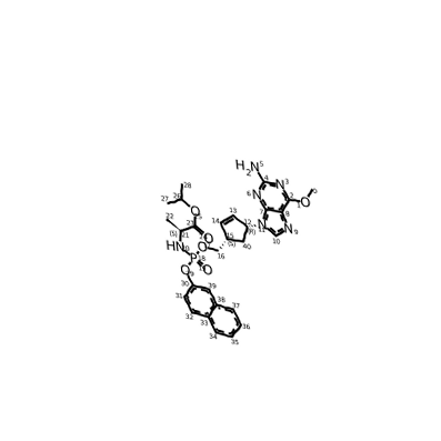 COc1nc(N)nc2c1ncn2[C@H]1C=C[C@@H](COP(=O)(N[C@@H](C)C(=O)OC(C)C)Oc2ccc3ccccc3c2)C1